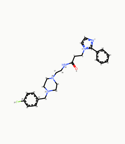 O=C(CCn1ccnc1-c1ccccc1)NCCN1CCN(Cc2ccc(F)cc2)CC1